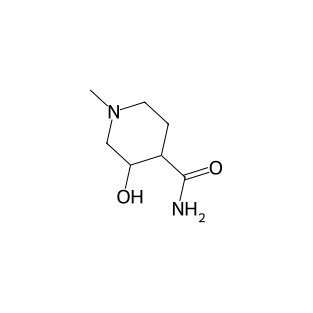 CN1CCC(C(N)=O)C(O)C1